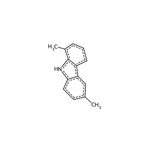 Cc1ccc2[nH]c3c(C)cccc3c2c1